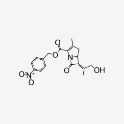 CC1=C(C(=O)OCc2ccc([N+](=O)[O-])cc2)N2C(=O)/C(=C(\C)CO)C2C1